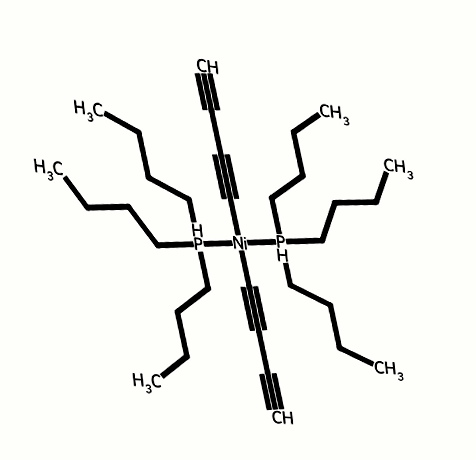 C#CC#[C][Ni]([C]#CC#C)([PH](CCCC)(CCCC)CCCC)[PH](CCCC)(CCCC)CCCC